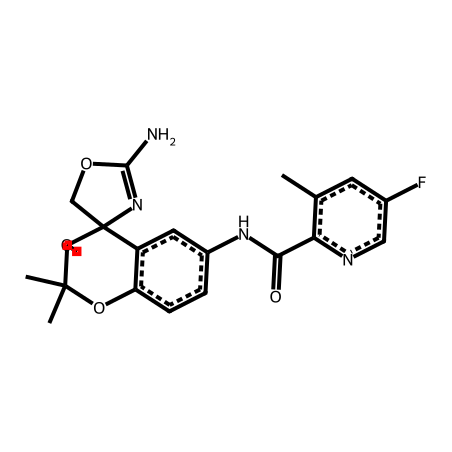 Cc1cc(F)cnc1C(=O)Nc1ccc2c(c1)C1(COC(N)=N1)C1(COC1)C(C)(C)O2